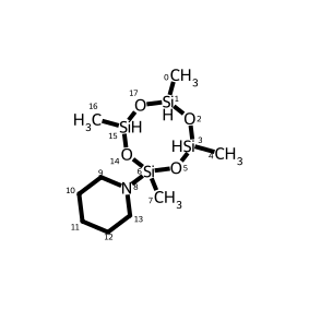 C[SiH]1O[SiH](C)O[Si](C)(N2CCCCC2)O[SiH](C)O1